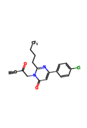 COC(=O)Cn1c(CCCC(F)(F)F)nc(-c2ccc(Cl)cc2)cc1=O